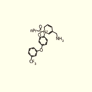 CCCS(=O)(=O)[N+]1(c2ccc(Oc3cccc(C(F)(F)F)c3)cc2)C=C(CN)C=CC1